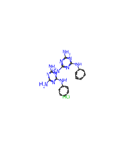 Cl.Nc1nc(N)nc(Nc2ccccc2)n1.Nc1nc(N)nc(Nc2ccccc2)n1